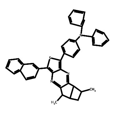 CC1CC2C(C)c3nc4c(-c5ccc6ccccc6c5)sc(-c5ccc(N(c6ccccc6)c6ccccc6)cc5)c4nc3C12